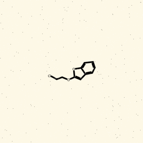 ClCCOc1cc2ccccc2o1